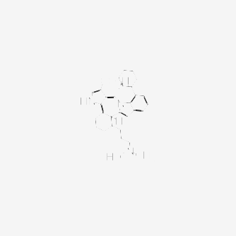 CN(C)CCCC1CCCC2=c3[nH]cc(C(=O)O)c3=Cn3c(cc4cccc(C5CCCCC5)c43)[C@@H]21